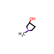 CI1CCC(O)C1